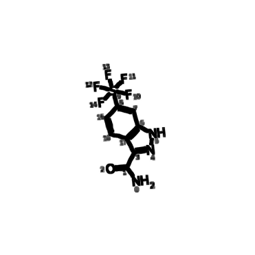 NC(=O)c1n[nH]c2cc(S(F)(F)(F)(F)F)ccc12